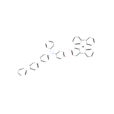 c1ccc(N(c2ccc(-c3ccc4c(c3)sc3ccccc34)cc2)c2ccc3c(c2)Oc2cc4c(cc2O3)-c2ccccc2C42c3ccccc3-c3ccccc32)cc1